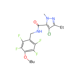 CCc1nn(C)c(C(=O)NCc2c(F)c(F)c(OC(C)CC)c(F)c2F)c1Cl